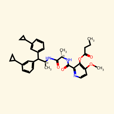 CCCC(=O)Oc1c(OC)ccnc1C(=O)N[C@@H](C)C(=O)N[C@@H](C)C(c1cccc(C2CC2)c1)c1cccc(C2CC2)c1